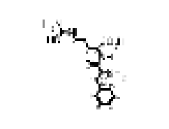 N=C(N)NCCC[C@@H](NC(=O)[C@@H](N)Cc1ccccc1)C(=O)O